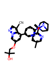 C=C(c1ccc(C)cn1)N1C2CC1CN(c1ccc(-c3cc(OCC(C)(C)O)cn4ncc(C#N)c34)cn1)C2